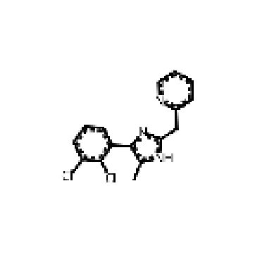 Cc1[nH]c(Cc2ccccn2)nc1-c1cccc(Cl)c1Cl